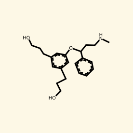 CNCCC(Oc1cc(CCCO)cc(CCCO)c1)c1ccccc1